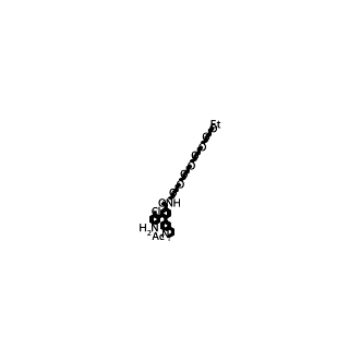 CCOCCOCCOCCOCCOCCOCCOCCOCCNC(=O)c1ccc(-c2ccc3c(c2)CC[C@H](C)N3C(C)=O)c(-c2cc(N)ccc2Cl)c1